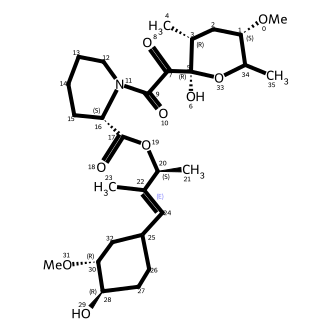 CO[C@H]1C[C@@H](C)[C@](O)(C(=O)C(=O)N2CCCC[C@H]2C(=O)O[C@@H](C)/C(C)=C/C2CC[C@@H](O)[C@H](OC)C2)OC1C